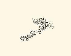 Cc1ccc(-n2nc(C(C)(C)C)cc2NC(=O)Nc2ccc(OCc3ccnc(Nc4cnc(C(=O)N5CCN6CCC[C@H]6C5)cn4)c3)c3ccccc23)cc1